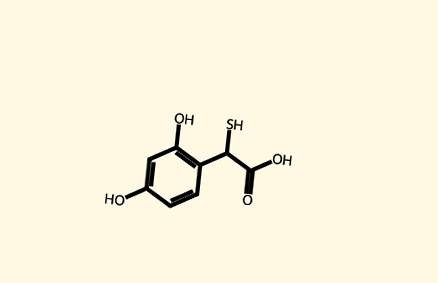 O=C(O)C(S)c1ccc(O)cc1O